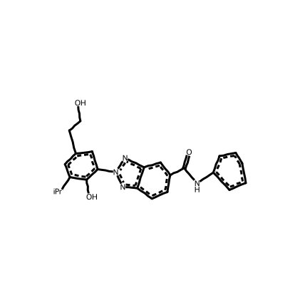 CC(C)c1cc(CCO)cc(-n2nc3ccc(C(=O)Nc4ccccc4)cc3n2)c1O